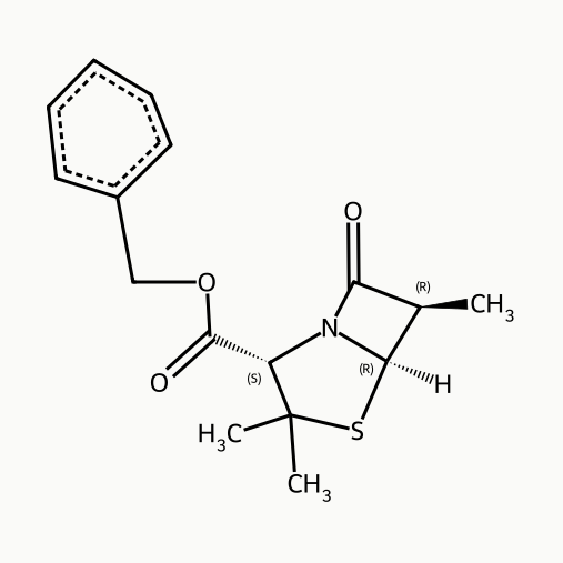 C[C@@H]1C(=O)N2[C@@H]1SC(C)(C)[C@@H]2C(=O)OCc1ccccc1